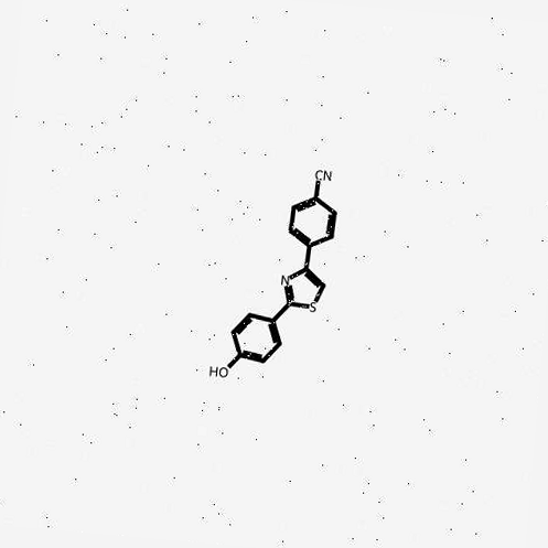 N#Cc1ccc(-c2csc(-c3ccc(O)cc3)n2)cc1